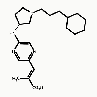 CC(=Cc1cnc(N[C@@H]2CCN(CCCC3CCCCC3)C2)cn1)C(=O)O